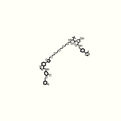 Cc1ncsc1-c1ccc(CNC(=O)[C@@H]2C[C@@H](O)CN2C(=O)[C@@H](NC(=O)COCCOCCOCCOCCOCc2ccc(-c3ccc4ncnc(Nc5ccc(OCc6cccc(F)c6)c(Cl)c5)c4c3)o2)C(C)(C)C)cc1